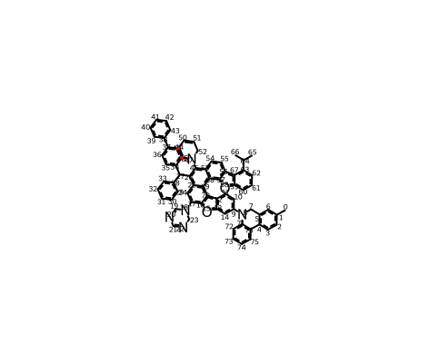 Cc1ccc2c(c1)CN(c1ccc3c(c1)oc1c(N4C=NC=NC4)cc4c(C(c5ccccc5)c5ccc(-c6ccccc6)cc5)c(N5C=CC=CC5)c5ccc6c(oc7cccc(C(C)C)c76)c5c4c13)c1ccccc1-2